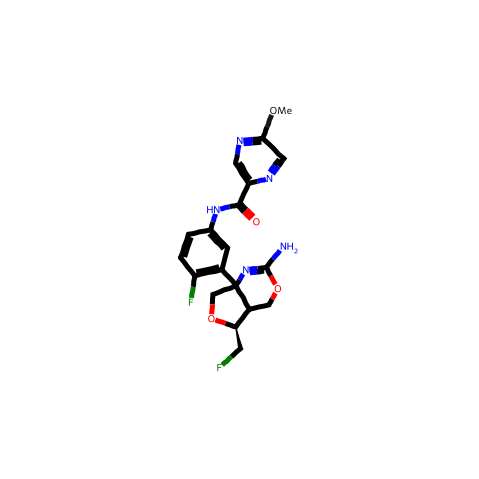 COc1cnc(C(=O)Nc2ccc(F)c(C34CO[C@H](CF)C3COC(N)=N4)c2)cn1